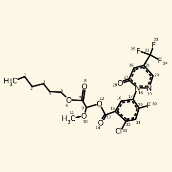 CCCCCCOC(=O)C(OC)OC(=O)c1cc(-n2ncc(C(F)(F)F)cc2=O)c(F)cc1Cl